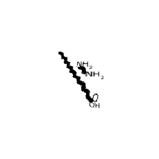 CCCCCCCCC=CCCCCCCCC(=O)O.NC=CCN